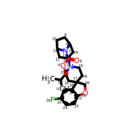 CC(C)COC(=O)N1C2CCC1CC(N1CCC3(CC1)COc1ccc(F)cc13)C2